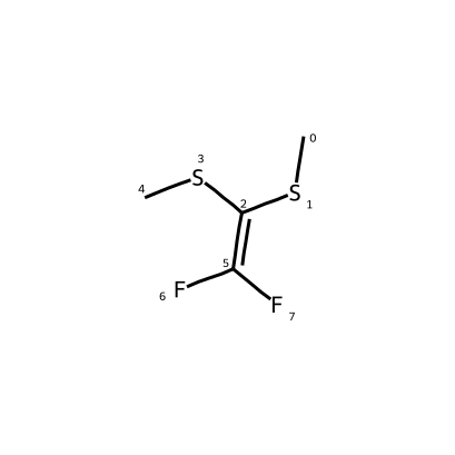 CSC(SC)=C(F)F